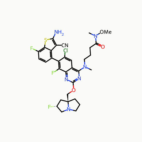 CON(C)C(=O)CCCN(C)c1nc(OC[C@@]23CCCN2C[C@H](F)C3)nc2c(F)c(-c3ccc(F)c4sc(N)c(C#N)c34)c(Cl)cc12